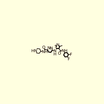 Cc1nsc(Nc2ccc(C(=O)NC3CCNCC3)nn2)c1C(=O)Nc1ccc(F)c(F)c1